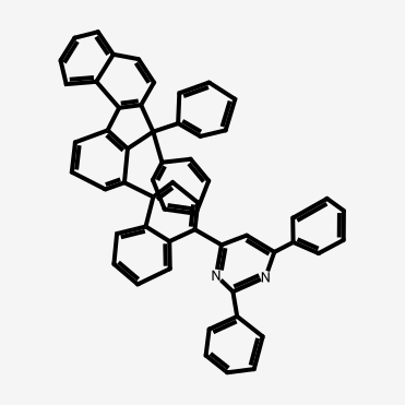 c1ccc(-c2cc(-c3ccc(-c4cccc5c4C(c4ccccc4)(c4ccccc4)c4ccc6ccccc6c4-5)c4ccccc34)nc(-c3ccccc3)n2)cc1